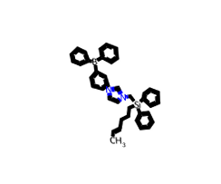 CC=CCCC[Si](Cn1ccnc1)(c1ccccc1)c1ccccc1.c1ccc(B(c2ccccc2)c2ccccc2)cc1